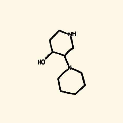 OC1CCNCC1N1CCCCC1